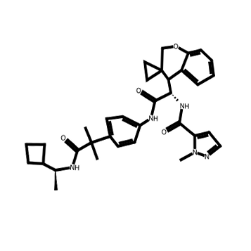 C[C@H](NC(=O)C(C)(C)c1ccc(NC(=O)[C@@H](NC(=O)c2ccnn2C)C2c3ccccc3OCC23CC3)cc1)C1CCC1